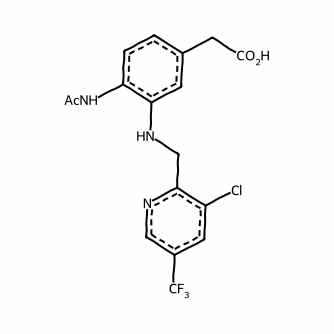 CC(=O)Nc1ccc(CC(=O)O)cc1NCc1ncc(C(F)(F)F)cc1Cl